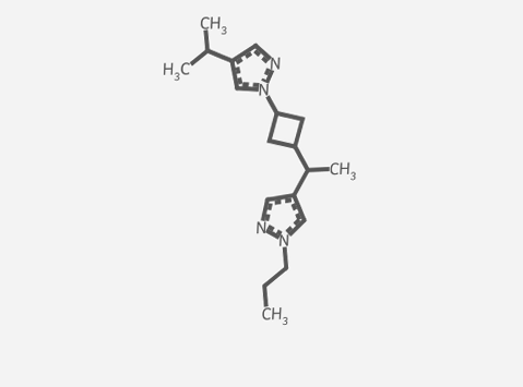 CCCn1cc(C(C)C2CC(n3cc(C(C)C)cn3)C2)cn1